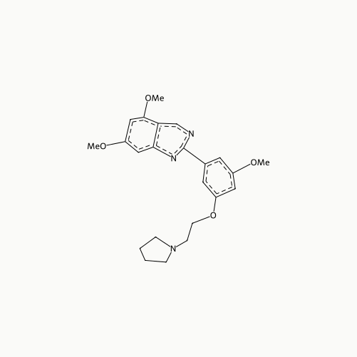 COc1cc(OCCN2CCCC2)cc(-c2ncc3c(OC)cc(OC)cc3n2)c1